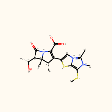 CSc1c2sc(C3=C(C(=O)[O-])N4C(=O)[C@H]([C@@H](C)O)[C@H]4[C@H]3C)c[n+]2c(C)n1C